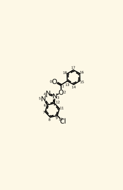 O=C(On1nnc2ccc(Cl)cc21)c1ccccc1